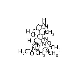 C=CC(=O)N1C[C@H](C)N(c2nc(OC(C)C3CCCN3C)nc3c(F)c(-c4c(C)ccc5[nH]nc(C)c45)c(Cl)cc23)C[C@H]1C